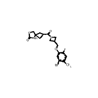 O=C1NC2(CO1)CC(C(=O)N1CC(COc3cc(Br)c(C(F)(F)F)cc3F)C1)C2